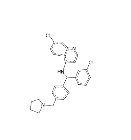 Clc1cccc(C(Nc2ccnc3cc(Cl)ccc23)c2ccc(CN3CCCC3)cc2)c1